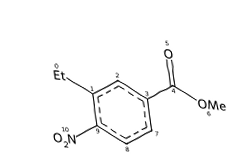 CCc1cc(C(=O)OC)ccc1[N+](=O)[O-]